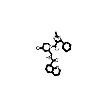 Cc1nc(-c2ccccc2)c(C(=O)N2CCC(=O)CC2CNC(=O)c2cccc3cccnc23)s1